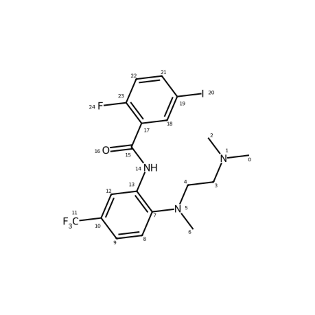 CN(C)CCN(C)c1ccc(C(F)(F)F)cc1NC(=O)c1cc(I)ccc1F